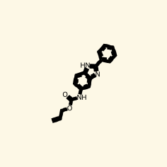 C=CCOC(=O)Nc1ccc2[nH]c(-c3ccccc3)nc2c1